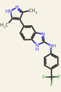 Cc1n[nH]c(C)c1-c1ccc2[nH]c(Nc3ccc(C(F)(F)F)cc3)nc2c1